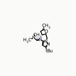 C[C@@H]1CCC(Cn2nc(C(C)(C)C)cc2/N=C/N(C)C)O1